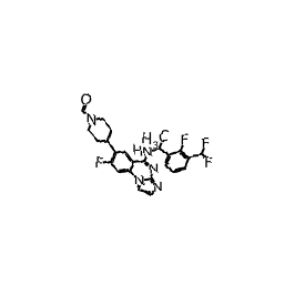 CC(Nc1nc2nccn2c2cc(F)c(C3CCN(C=O)CC3)cc12)c1cccc(C(F)F)c1F